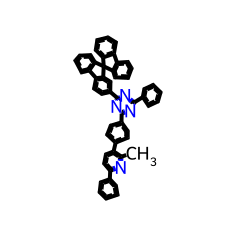 Cc1nc(-c2ccccc2)ccc1-c1ccc(-c2nc(-c3ccccc3)nc(-c3ccc4c(c3)C3(c5ccccc5-c5ccccc53)c3ccccc3-4)n2)cc1